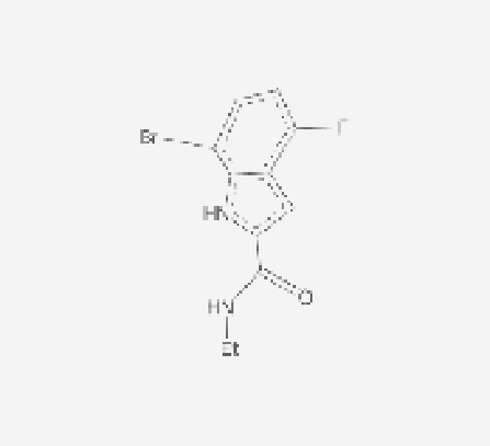 CCNC(=O)c1cc2c(F)ccc(Br)c2[nH]1